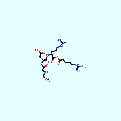 CCNCC(=O)N[C@@H](CC(=O)O)C(=O)N[C@@H](CCCNC(=N)N)C(=O)OC(=O)CCCCNC(=N)N